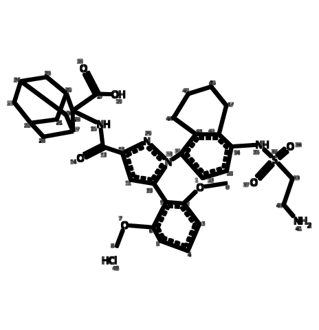 COc1cccc(OC)c1-c1cc(C(=O)NC2(C(=O)O)C3CC4CC(C3)CC2C4)nn1-c1ccc(NS(=O)(=O)CCN)c2c1CCCC2.Cl